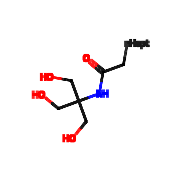 [CH2]CCCCCCCC(=O)NC(CO)(CO)CO